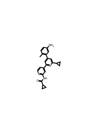 Cc1ccc(N)cc1-c1cc(-c2ccnc(NC(=O)C3CC3)c2)nc(C2CC2)c1